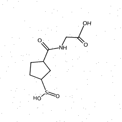 O=C(O)CNC(=O)C1CCC(S(=O)O)C1